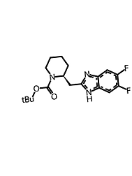 CC(C)(C)OC(=O)N1CCCC[C@H]1Cc1nc2cc(F)c(F)cc2[nH]1